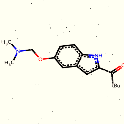 CN(C)COc1ccc2[nH]c(C(=O)C(C)(C)C)cc2c1